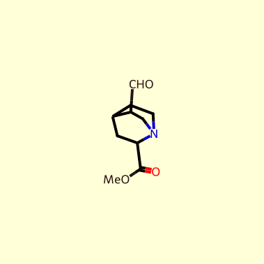 COC(=O)C1CC2CCN1CC2C=O